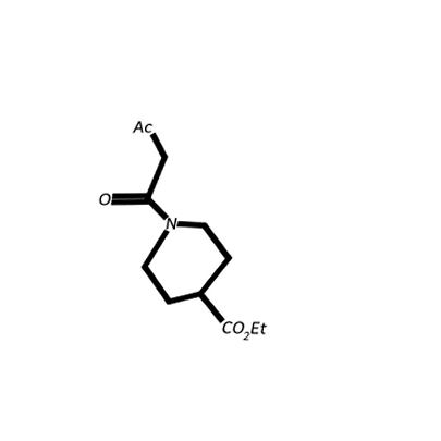 CCOC(=O)C1CCN(C(=O)CC(C)=O)CC1